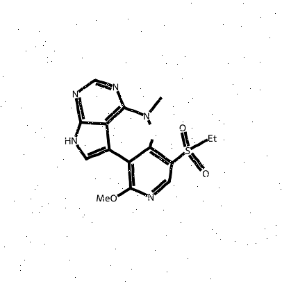 CCS(=O)(=O)c1cnc(OC)c(-c2c[nH]c3ncnc(N(C)C)c23)c1C